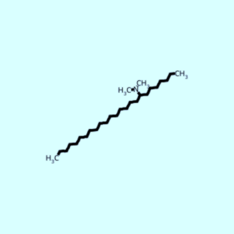 CCCCCCCCCCCCCCCCCC(CCCCCCC)N(C)C